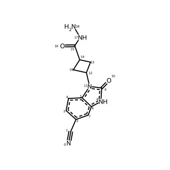 N#Cc1ccc2c(c1)[nH]c(=O)n2C1CC(C(=O)NN)C1